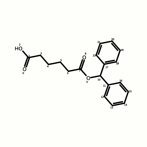 O=C(O)CCCCC(=O)OC(c1ccccc1)c1ccccc1